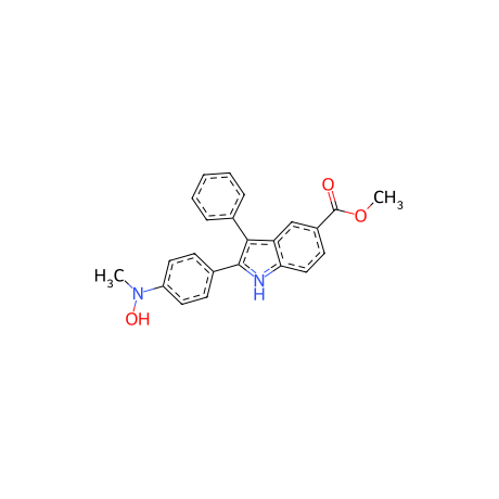 COC(=O)c1ccc2[nH]c(-c3ccc(N(C)O)cc3)c(-c3ccccc3)c2c1